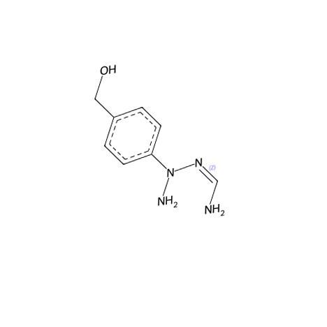 N/C=N\N(N)c1ccc(CO)cc1